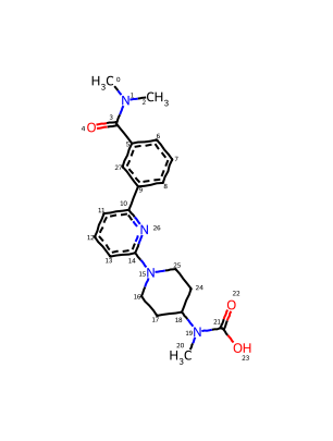 CN(C)C(=O)c1cccc(-c2cccc(N3CCC(N(C)C(=O)O)CC3)n2)c1